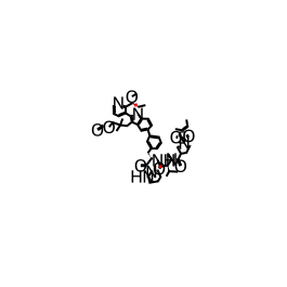 C/C=C(\C)S(=O)(=O)N1CCC(C(=O)N(C)[C@H](C(=O)N[C@@H](Cc2cccc(-c3ccc4c(c3)c(CC(C)(C)COC=O)c(-c3cccnc3[C@H](C)OC)n4CC)c2)C(=O)N2CCCCN2)C(C)C)C1